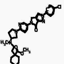 COC(=O)C1(CCN(C)C2CCN(c3ccc(N4Cc5cn(-c6ccc(Cl)cc6)nc5C4=O)cn3)C2)CCCCC1